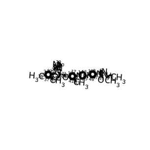 CCC(C)n1ncn(-c2ccc(N3CCN(c4ccc(OC[C@@H]5CO[C@@](Cn6nccn6)(c6ccc(C)cc6C)O5)cc4C)CC3)cc2)c1=O